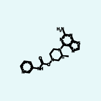 C[C@H]1CN(OC(=O)Nc2cccnc2)CCN1c1nc(N)nc2scnc12